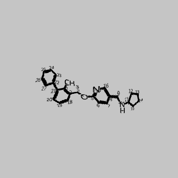 Cc1c(COc2ccc(CN[C]3CCCC3)cn2)cccc1-c1ccccc1